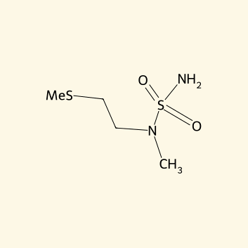 CSCCN(C)S(N)(=O)=O